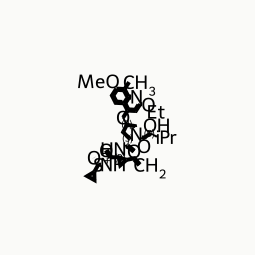 C=CC1C[C@]1(NC(=O)[C@@H]1C[C@@H](Oc2cc(OCC)nc3c(C)c(OC)ccc23)CN1C(=O)[C@@H](O)C(C)C)C(=O)N[S+]([O-])C1CC1